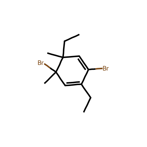 CCC1=CC(C)(Br)C(C)(CC)C=C1Br